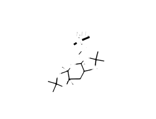 C=S(=C)(N)OC[C@]12OC(C)(C)O[C@@]1(C)C[C@]1(C)OC(C)(C)O[C@]1(C)O2